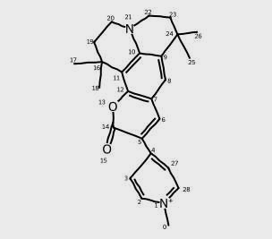 C[n+]1ccc(-c2cc3cc4c5c(c3oc2=O)C(C)(C)CCN5CCC4(C)C)cc1